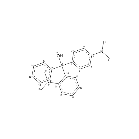 CN(C)c1ccc(C(O)(c2ccccc2)c2ccccc2N(C)C)cc1